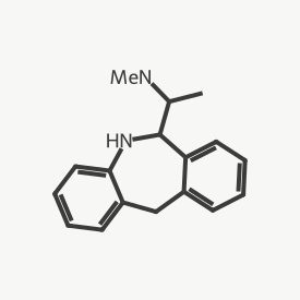 CNC(C)C1Nc2ccccc2Cc2ccccc21